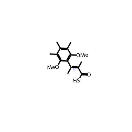 COc1c(C)c(C)c(C)c(OC)c1/C(C)=C(\C)C(=O)S